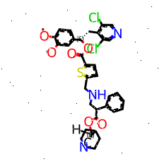 COc1ccc([C@H](Cc2c(Cl)cncc2Cl)OC(=O)c2ccc(CNCC(C(=O)O[C@H]3CN4CCC3CC4)c3ccccc3)s2)cc1OC